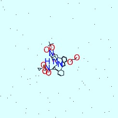 CC(C)(C)OC(=O)N1CC2CN(C3C4=C(C(=O)NS(=O)(=O)C5CC5)C4=C4C=CCCC4c4cc5c(OCC=O)ccc(C6CCCCC6)c5n43)CC2C1